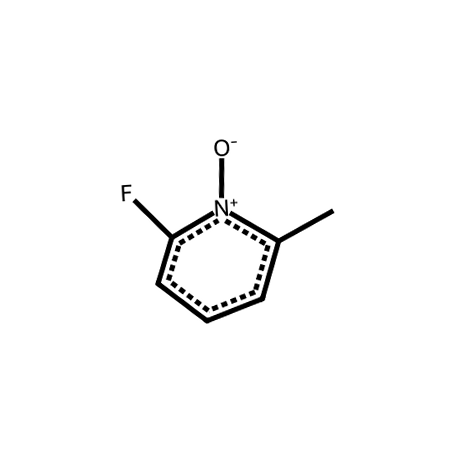 Cc1cccc(F)[n+]1[O-]